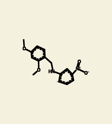 COc1ccc(CNc2[c]ccc([N+](=O)[O-])c2)c(OC)c1